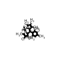 CC1=C(C)C(C)=[N+]2C1=C(c1c(C)cc(C)cc1C)c1c(C)c(Cl)c(C)n1[B-]2(F)F